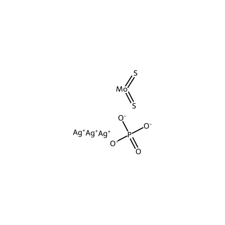 O=P([O-])([O-])[O-].[Ag+].[Ag+].[Ag+].[S]=[Mo]=[S]